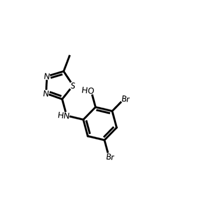 Cc1nnc(Nc2cc(Br)cc(Br)c2O)s1